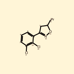 CC(C)C1CC(c2cccc(Cl)c2Cl)=NO1